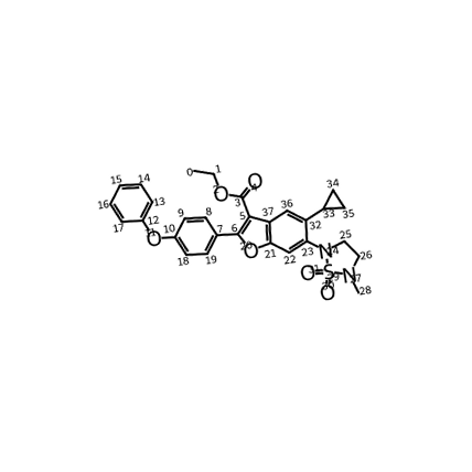 CCOC(=O)c1c(-c2ccc(Oc3ccccc3)cc2)oc2cc(N3CCN(C)S3(=O)=O)c(C3CC3)cc12